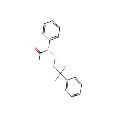 CC(C)(CON(C(N)=O)c1ccccc1)c1ccccc1